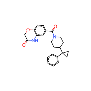 O=C1COc2ccc(C(=O)N3CCC(C4(c5ccccc5)CC4)CC3)cc2N1